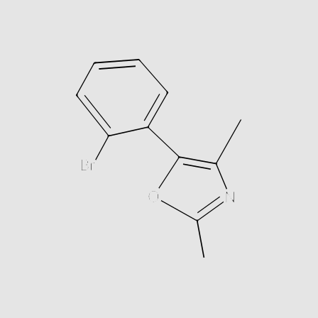 Cc1nc(C)c(-c2ccccc2Br)o1